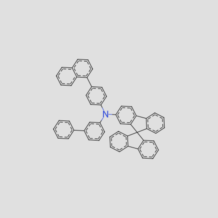 c1ccc(-c2cccc(N(c3ccc(-c4cccc5ccccc45)cc3)c3ccc4c(c3)C3(c5ccccc5-c5ccccc53)c3ccccc3-4)c2)cc1